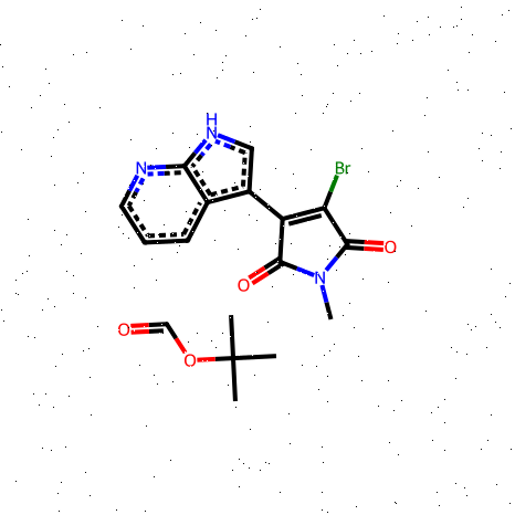 CC(C)(C)OC=O.CN1C(=O)C(Br)=C(c2c[nH]c3ncccc23)C1=O